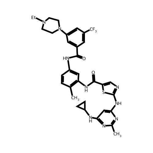 CCN1CCN(c2cc(C(=O)Nc3ccc(C)c(NC(=O)c4cnc(Nc5cc(NC6CC6)nc(C)n5)s4)c3)cc(C(F)(F)F)c2)CC1